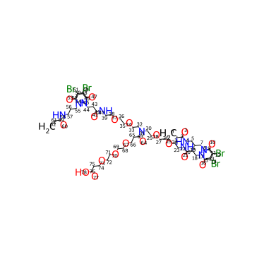 C=CC(=O)NCCCn1c(=O)c(Br)c(Br)c(=O)n1CCC(=O)NCCOCCOCCN(CCOCCOCCNC(=O)CCn1c(=O)c(Br)c(Br)c(=O)n1CCCNC(=O)C=C)C(=O)CCOCCOCCOCCC(=O)O